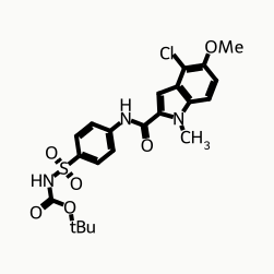 COc1ccc2c(cc(C(=O)Nc3ccc(S(=O)(=O)NC(=O)OC(C)(C)C)cc3)n2C)c1Cl